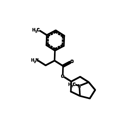 Cc1cccc(C(CN)C(=O)OC2CC3CCC(C2)N3C)c1